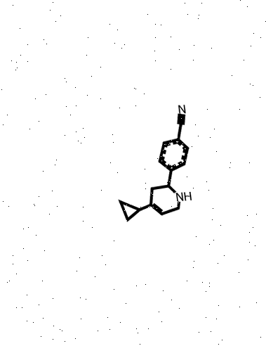 N#Cc1ccc(C2CC(C3CC3)=CCN2)cc1